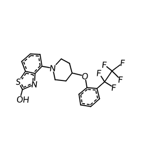 Oc1nc2c(N3CCC(Oc4ccccc4C(F)(F)C(F)(F)F)CC3)cccc2s1